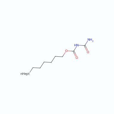 CCCCCCCCCCCCCOC(=O)NC(N)=O